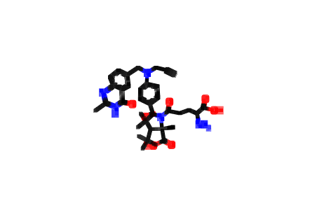 C#CCN(Cc1ccc2nc(C)[nH]c(=O)c2c1)c1ccc(C(=O)N(C(=O)CC[C@H](N)C(=O)O)[C@](C)(C(=O)O)C(C(C)(C)C)C(C)(C)C)cc1